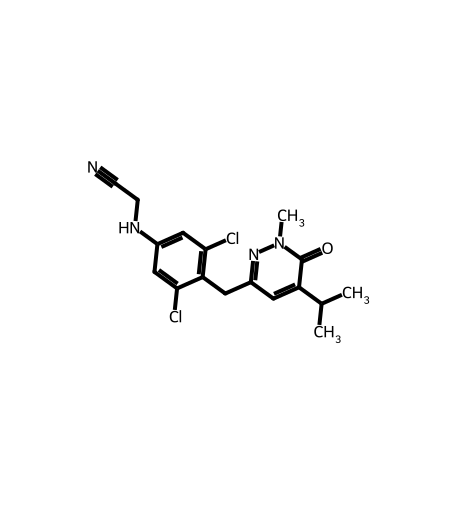 CC(C)c1cc(Cc2c(Cl)cc(NCC#N)cc2Cl)nn(C)c1=O